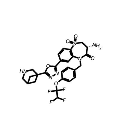 N[C@H]1CS(=O)(=O)c2ccc(-c3nnc(C45CNCC(C4)C5)o3)cc2N(Cc2ccc(OC(F)(F)C(F)F)cc2)C1=O